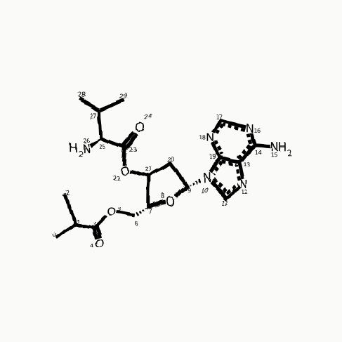 CC(C)C(=O)OC[C@H]1O[C@@H](n2cnc3c(N)ncnc32)CC1OC(=O)[C@@H](N)C(C)C